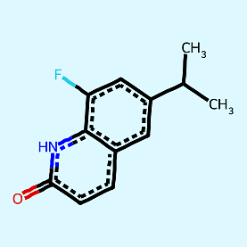 CC(C)c1cc(F)c2[nH]c(=O)ccc2c1